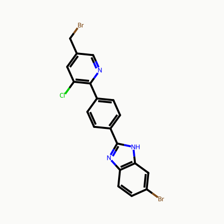 Clc1cc(CBr)cnc1-c1ccc(-c2nc3ccc(Br)cc3[nH]2)cc1